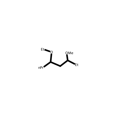 [CH2]CC(CC(CCC)OCC)OC